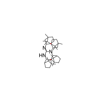 CC12CCC(C(N=C(NC3CC4(C)CCC3C4(C)C)N(C3CC4(C)CCC3C4(C)C)C3CC4(C)CCC3C4(C)C)C1)C2(C)C